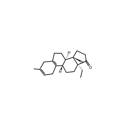 CC[C@]12CC[C@@H]3C4=C(CC[C@H]3[C@@H]1CCC2=O)CC(C)=CC4